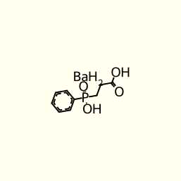 O=C(O)CCP(=O)(O)c1ccccc1.[BaH2]